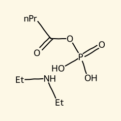 CCCC(=O)OP(=O)(O)O.CCNCC